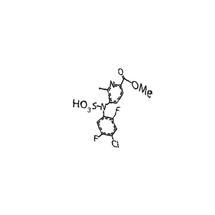 COC(=O)c1ccc(N(c2cc(F)c(Cl)cc2F)S(=O)(=O)O)c(C)n1